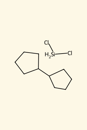 C1CCC(C2CCCC2)C1.Cl[SiH2]Cl